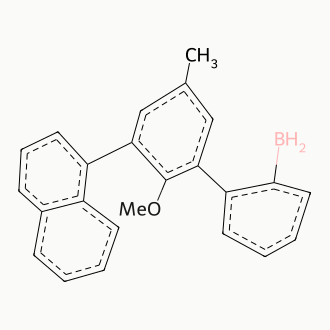 Bc1ccccc1-c1cc(C)cc(-c2cccc3ccccc23)c1OC